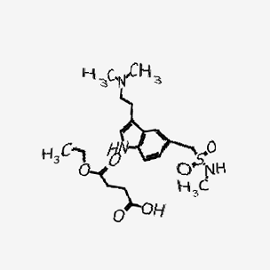 CCOC(=O)CCC(=O)O.CNS(=O)(=O)Cc1ccc2[nH]cc(CCN(C)C)c2c1